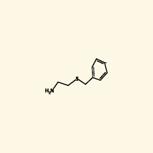 NCCSCc1cc[c]cc1